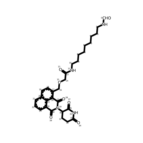 O=CNCCCCCCCCCNC(=O)COCc1ccc2cccc3c2c1C(=O)N(C1CCC(=O)NC1=O)C3=O